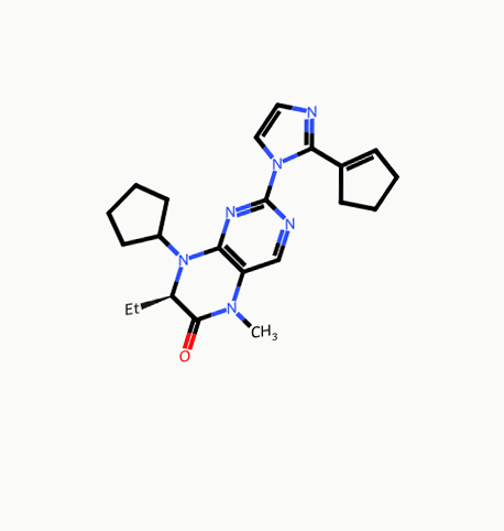 CC[C@@H]1C(=O)N(C)c2cnc(-n3ccnc3C3=CCCC3)nc2N1C1CCCC1